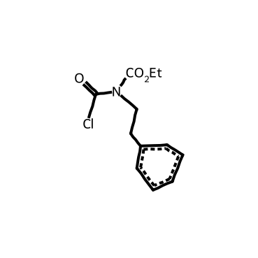 CCOC(=O)N(CCc1ccccc1)C(=O)Cl